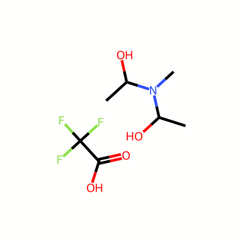 CC(O)N(C)C(C)O.O=C(O)C(F)(F)F